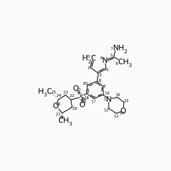 C=C/C(=C\N=C(/C)N)c1cc(N2CCOCC2)cc(S(=O)(=O)C2C[C@@H](C)O[C@@H](C)C2)c1